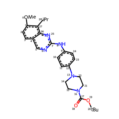 COc1ccc2cnc(Nc3ccc(N4CCN(C(=O)OC(C)(C)C)CC4)cc3)nc2c1C(C)C